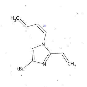 C=C/C=C\n1cc(C(C)(C)C)nc1C=C